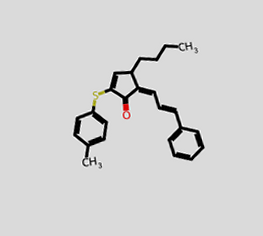 CCCCC1C=C(Sc2ccc(C)cc2)C(=O)C1=CC=Cc1ccccc1